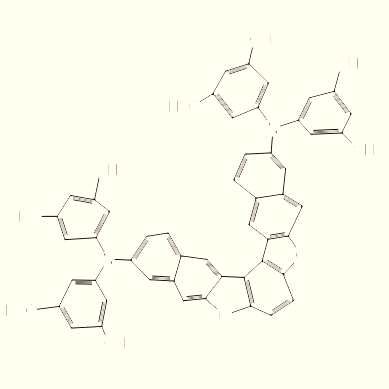 Cc1cc(C)cc(N(c2cc(C)cc(C)c2)c2ccc3cc4c(cc3c2)oc2ccc3oc5cc6cc(N(c7cc(C)cc(C)c7)c7cc(C)cc(C)c7)ccc6cc5c3c24)c1